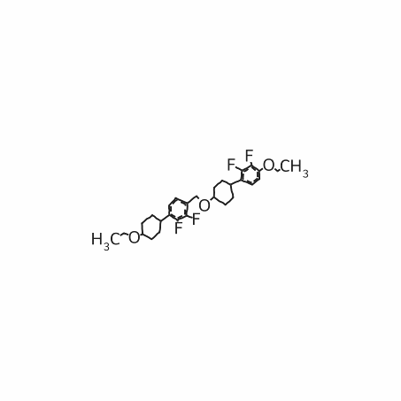 CCOc1ccc(C2CCC(OCc3ccc(C4CCC(OCC)CC4)c(F)c3F)CC2)c(F)c1F